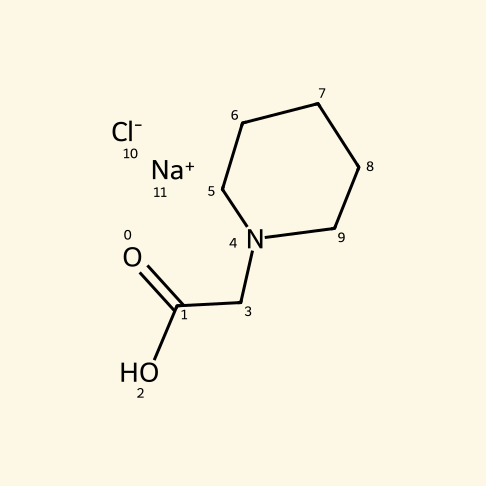 O=C(O)CN1CCCCC1.[Cl-].[Na+]